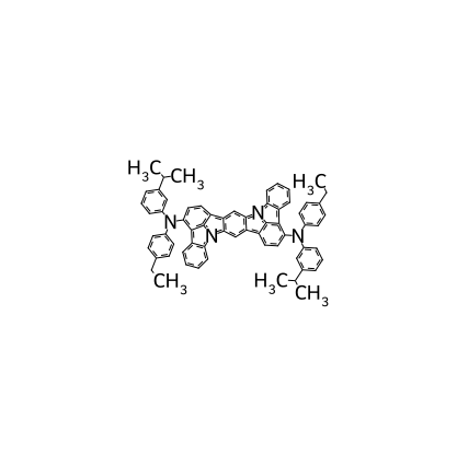 CCc1ccc(N(c2cccc(C(C)C)c2)c2ccc3c4cc5c(cc4n4c6ccccc6c2c34)c2ccc(N(c3ccc(CC)cc3)c3cccc(C(C)C)c3)c3c4ccccc4n5c23)cc1